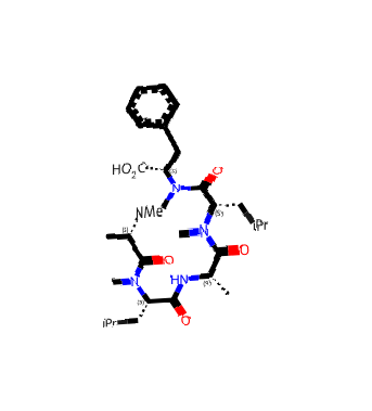 CN[C@@H](C)C(=O)N(C)[C@@H](CC(C)C)C(=O)N[C@@H](C)C(=O)N(C)[C@@H](CC(C)C)C(=O)N(C)[C@@H](Cc1ccccc1)C(=O)O